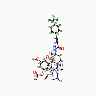 C=CC[N+]1(CC(C)C)CC[C@]23c4c5c(OC(C)=O)cc(OC)c4O[C@H]2[C@@H](NC(=O)C#Cc2ccc(C(F)(F)F)cc2)CC[C@H]3[C@H]1C5